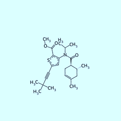 COC(=O)c1sc(C#CC(C)(C)C)cc1N(C(=O)[C@@H]1CC=C(C)C[C@H]1C)C(C)C